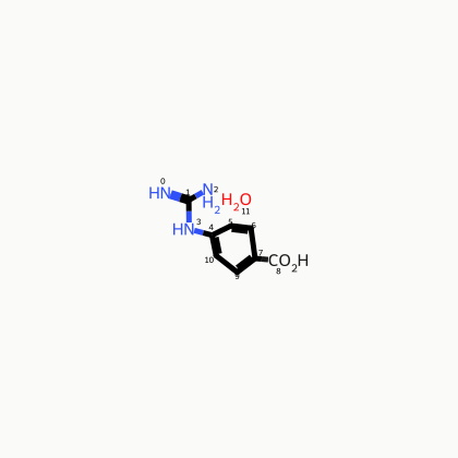 N=C(N)Nc1ccc(C(=O)O)cc1.O